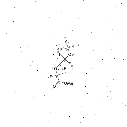 COC(=O)C(F)(F)OC(F)(F)C(F)(F)OC(F)(F)C(C)=O